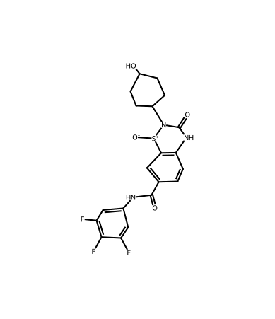 O=C(Nc1cc(F)c(F)c(F)c1)c1ccc2c(c1)[S+]([O-])N(C1CCC(O)CC1)C(=O)N2